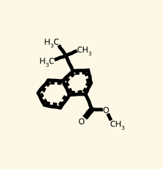 COC(=O)c1ccc(C(C)(C)C)c2ccccc12